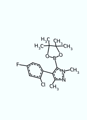 Cc1nn(C)c(B2OC(C)(C)C(C)(C)O2)c1-c1ccc(F)cc1Cl